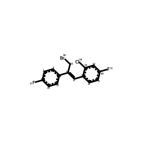 Fc1ccc(C(=Cc2ccc(F)cc2Cl)CBr)cc1